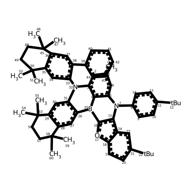 Cc1cc2c3c(c1)N(c1ccc(C(C)(C)C)cc1)c1c(oc4ccc(C(C)(C)C)cc14)B3c1cc3c(cc1N2c1cc2c(cc1-c1ccccc1)C(C)(C)CCC2(C)C)C(C)(C)CCC3(C)C